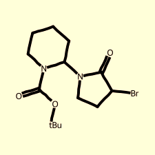 CC(C)(C)OC(=O)N1CCCCC1N1CCC(Br)C1=O